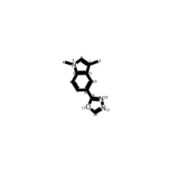 Cc1cn(C)c2ccc(-c3nnco3)cc12